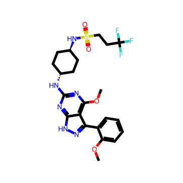 COc1ccccc1-c1n[nH]c2nc(N[C@H]3CC[C@H](NS(=O)(=O)CCC(F)(F)F)CC3)nc(OC)c12